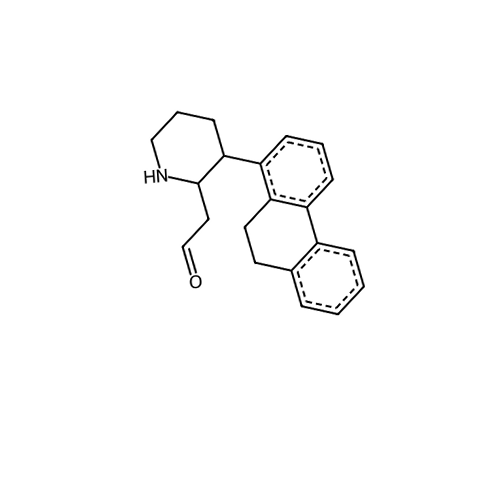 O=CCC1NCCCC1c1cccc2c1CCc1ccccc1-2